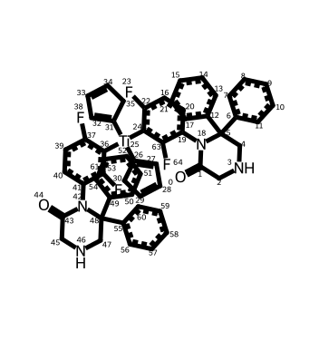 O=C1CNCC(c2ccccc2)(c2ccccc2)N1c1ccc(F)[c]([Ti]([C]2=CC=CC2)([C]2=CC=CC2)[c]2c(F)ccc(N3C(=O)CNCC3(c3ccccc3)c3ccccc3)c2F)c1F